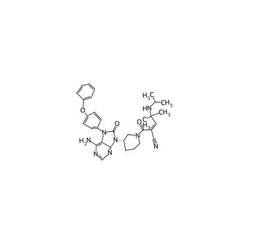 CC(C)NC(C)(C)/C=C(/C#N)C(=O)N1CCC[C@H](n2c(=O)n(-c3ccc(Oc4ccccc4)cc3)c3c(N)ncnc32)C1